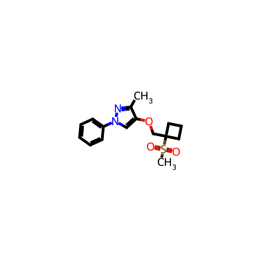 Cc1nn(-c2ccccc2)cc1OCC1(S(C)(=O)=O)CCC1